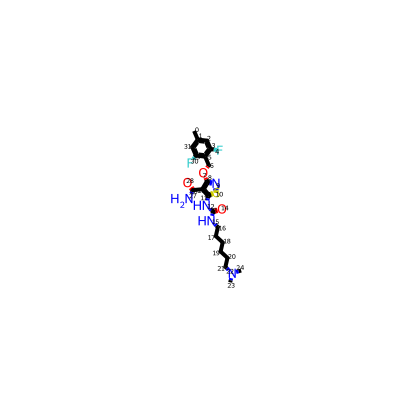 Cc1cc(F)c(COc2nsc(NC(=O)NCCCCCCN(C)C)c2C(N)=O)c(F)c1